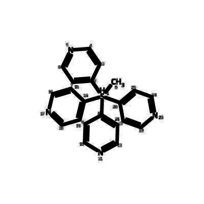 C[SH](c1ccncc1)(c1ccncc1)(c1ccncc1)c1ccncc1